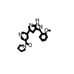 COc1ccccc1-c1n[nH]c2ncc(-c3cncc(C(=O)N4CCCC4)c3)cc12